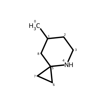 CC1CCNC2(CC2)C1